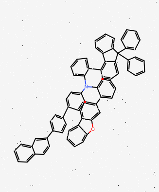 c1ccc(C2(c3ccccc3)c3ccccc3-c3c(-c4ccccc4N(c4ccc(-c5ccc(-c6ccc7ccccc7c6)cc5)cc4)c4ccccc4-c4ccc5c(c4)oc4ccccc45)cccc32)cc1